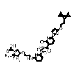 CC1(C)C[C@H](OCCNc2cccc(S(=O)(=O)NC(=O)c3ccc(-n4ccc(OCCC5C6(CC6)C56CC6)n4)nc3Cl)n2)CN1C(=O)O